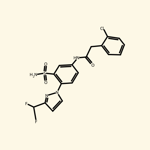 NS(=O)(=O)c1cc(NC(=O)Cc2ccccc2Cl)ccc1-n1ccc(C(F)F)n1